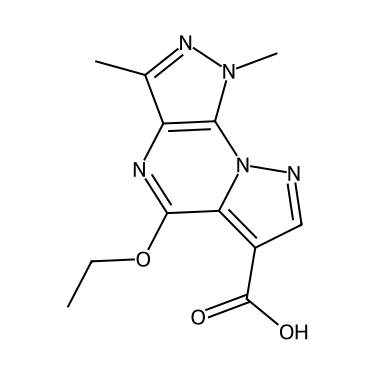 CCOc1nc2c(C)nn(C)c2n2ncc(C(=O)O)c12